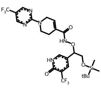 CC(C)(C)[Si](C)(C)OCC(ONC(=O)C1=CCN(c2ncc(C(F)(F)F)cn2)CC1)c1c[nH]c(=O)c(C(F)(F)F)c1